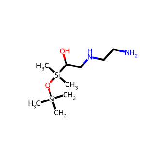 C[Si](C)(C)O[Si](C)(C)C(O)CNCCN